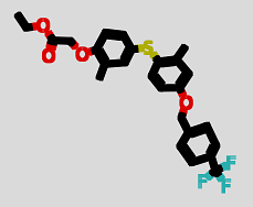 CCOC(=O)COc1ccc(Sc2ccc(OCc3ccc(C(F)(F)F)cc3)cc2C)cc1C